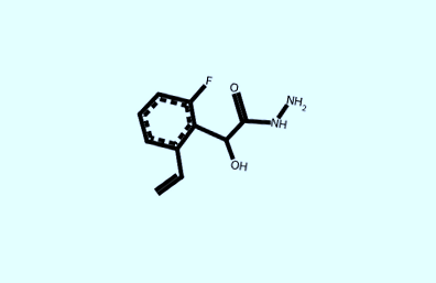 C=Cc1cccc(F)c1C(O)C(=O)NN